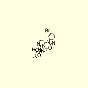 CC(C)(C)OC(=O)N1CC(Oc2nc3ccc(Br)cc3n2-c2ccnc(N)n2)C1